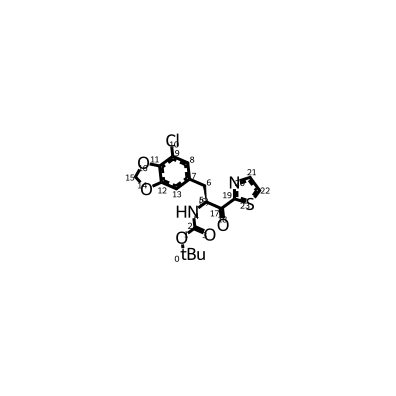 CC(C)(C)OC(=O)N[C@@H](Cc1cc(Cl)c2c(c1)OCO2)C(=O)c1nccs1